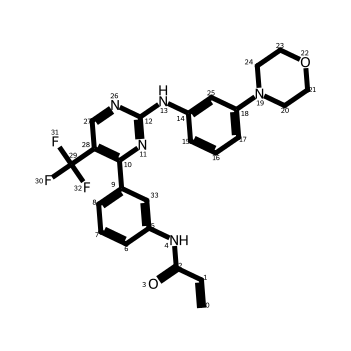 C=CC(=O)Nc1cccc(-c2nc(Nc3cccc(N4CCOCC4)c3)ncc2C(F)(F)F)c1